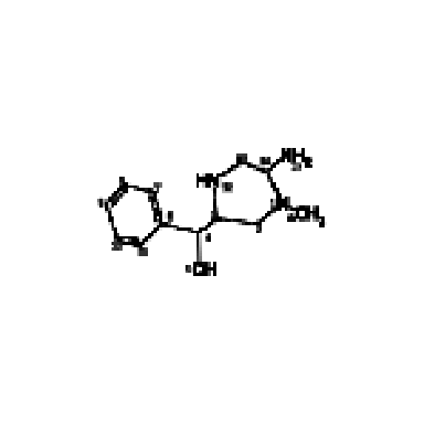 CN1CC(C(O)c2ccccc2)NCC1N